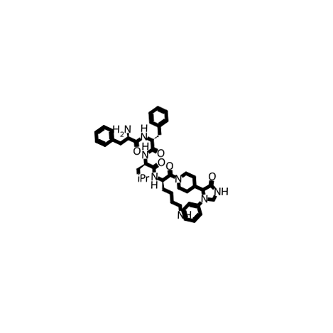 CC(C)C[C@@H](NC(=O)[C@@H](Cc1ccccc1)NC(=O)[C@H](N)Cc1ccccc1)C(=O)N[C@H](CCCCN)C(=O)N1CCC(C2C(=O)NCN2c2ccccc2)CC1